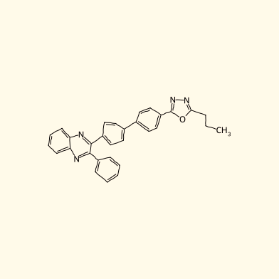 CCCc1nnc(-c2ccc(-c3ccc(-c4nc5ccccc5nc4-c4ccccc4)cc3)cc2)o1